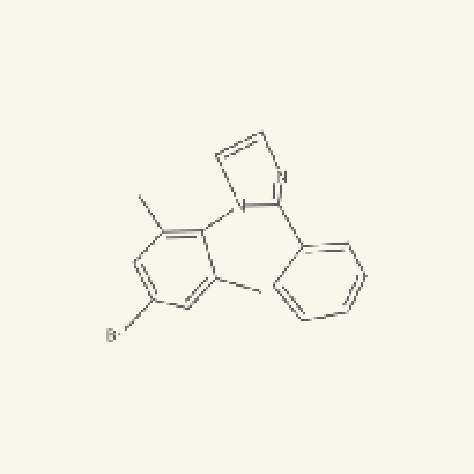 Cc1cc(Br)cc(C)c1-n1ccnc1-c1ccccc1